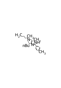 C=CCCC(=C)N1CC2=C(N=C(c3ccc(C)cc3)NC2=C)C(CCCC)C1